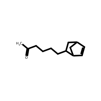 CC(=O)CCCCC1CC2C=CC1C2